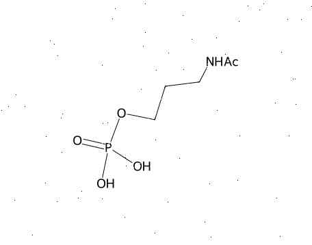 CC(=O)NCCCOP(=O)(O)O